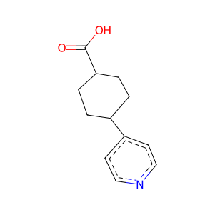 O=C(O)C1CCC(c2ccncc2)CC1